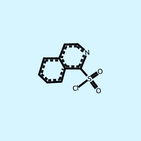 O=S(=O)(Cl)c1nccc2ccccc12